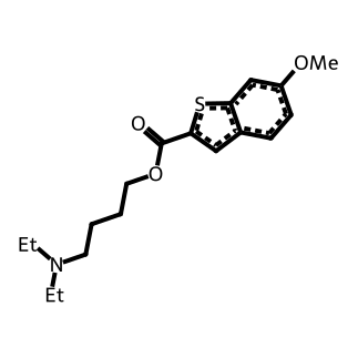 CCN(CC)CCCCOC(=O)c1cc2ccc(OC)cc2s1